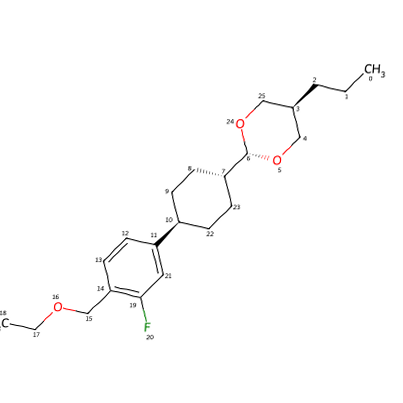 CCC[C@H]1CO[C@H]([C@H]2CC[C@H](c3ccc(COCC)c(F)c3)CC2)OC1